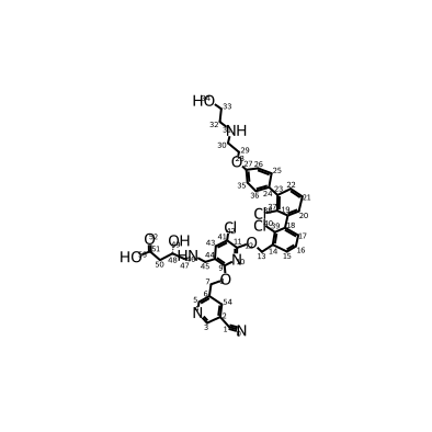 N#Cc1cncc(COc2nc(OCc3cccc(-c4cccc(-c5ccc(OCCNCCO)cc5)c4Cl)c3Cl)c(Cl)cc2CNC[C@@H](O)CC(=O)O)c1